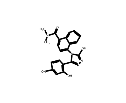 CN(C)C(=O)c1ccc(-n2c(S)nnc2-c2ccc(N=O)cc2O)c2ccccc12